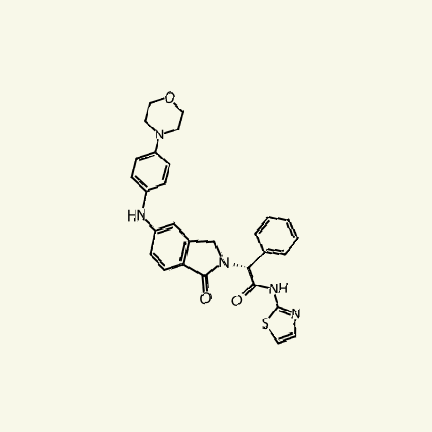 O=C(Nc1nccs1)[C@@H](c1ccccc1)N1Cc2cc(Nc3ccc(N4CCOCC4)cc3)ccc2C1=O